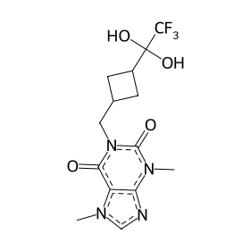 Cn1cnc2c1c(=O)n(CC1CC(C(O)(O)C(F)(F)F)C1)c(=O)n2C